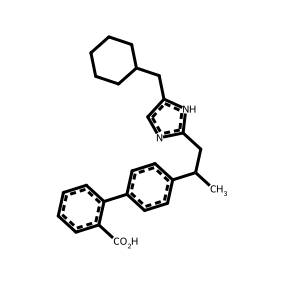 CC(Cc1ncc(CC2CCCCC2)[nH]1)c1ccc(-c2ccccc2C(=O)O)cc1